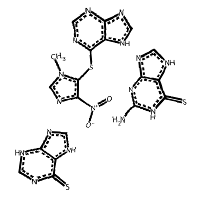 Cn1cnc([N+](=O)[O-])c1Sc1ncnc2nc[nH]c12.Nc1nc2nc[nH]c2c(=S)[nH]1.S=c1nc[nH]c2nc[nH]c12